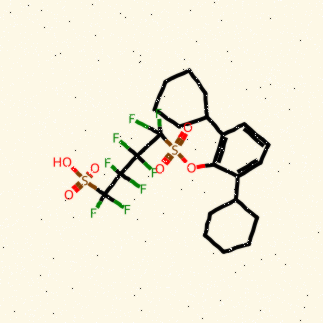 O=S(=O)(O)C(F)(F)C(F)(F)C(F)(F)C(F)(F)S(=O)(=O)Oc1c(C2CCCCC2)cccc1C1CCCCC1